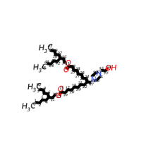 CCCCCC(CCCCC)CCOC(=O)CCCCCCCC(CCCCCCCC(=O)OCCC(CCCCC)CCCCC)CN1CCN(CCO)CC1